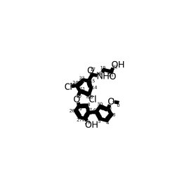 COc1cccc(-c2cc(Oc3c(Cl)cc(C(=O)NCC(=O)O)cc3Cl)ccc2O)c1